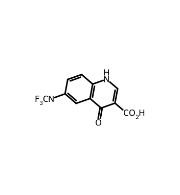 O=C(O)c1c[nH]c2ccc(NC(F)(F)F)cc2c1=O